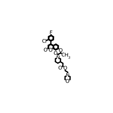 CC(Oc1ccc2c(-c3ccc(F)cc3Cl)cc(=O)oc2c1)C(=O)N1CCCC(CC(=O)OCCN2CCOCC2)C1